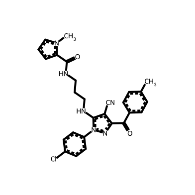 Cc1ccc(C(=O)c2nn(-c3ccc(Cl)cc3)c(NCCCNC(=O)c3cccn3C)c2C#N)cc1